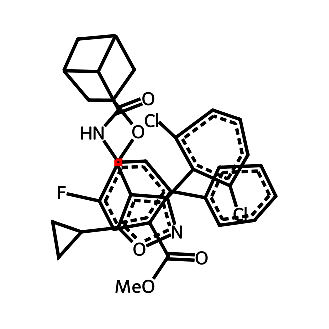 COC(=O)c1cc(F)c(NC(=O)C2C3CC(OCc4c(-c5c(Cl)cccc5Cl)noc4C4CC4)CC2C3)cc1-c1ccccc1